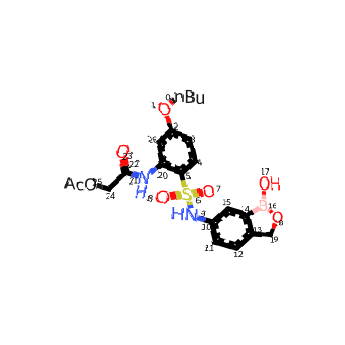 CCCCOc1ccc(S(=O)(=O)Nc2ccc3c(c2)B(O)OC3)c(NC(=O)COC(C)=O)c1